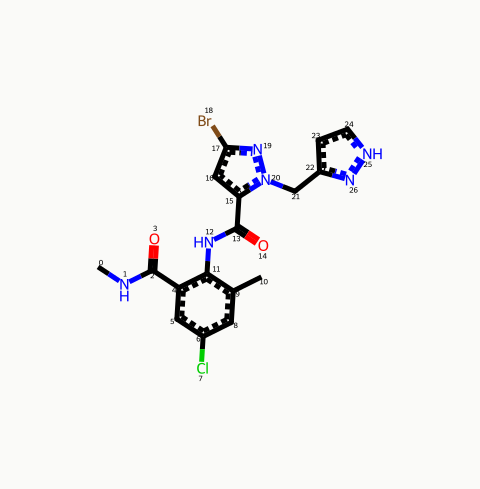 CNC(=O)c1cc(Cl)cc(C)c1NC(=O)c1cc(Br)nn1Cc1cc[nH]n1